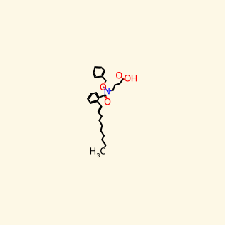 CCCCCCCCC=Cc1ccccc1C(=O)N(CCCC(=O)O)OCc1ccccc1